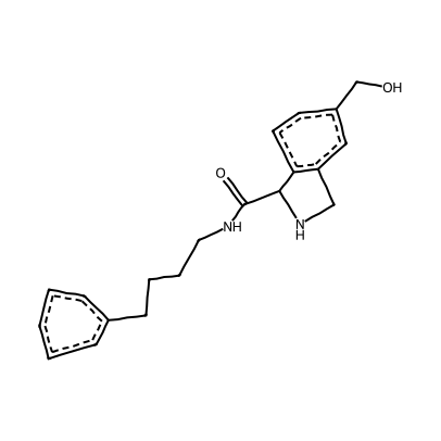 O=C(NCCCCc1ccccc1)C1NCc2cc(CO)ccc21